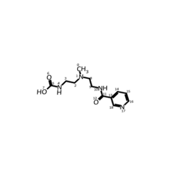 CN(CCNC(=O)O)CCNC(=O)c1cccnc1